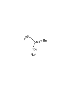 CCC[CH2][SnH]([CH2]CCC)[CH2]CCC.[I-].[Na+]